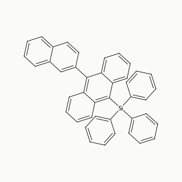 c1ccc([Si](c2ccccc2)(c2ccccc2)c2c3ccccc3c(-c3ccc4ccccc4c3)c3ccccc23)cc1